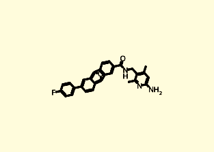 Cc1cc(N)nc(C)c1CNC(=O)c1ccc2c(c1)c1oc2c2cc(-c3ccc(F)cc3)ccc21